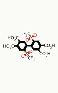 O=C(O)c1cc(-c2cc(C(=O)O)c(C(=O)O)cc2S(=O)(=O)C(F)(F)F)c(S(=O)(=O)C(F)(F)F)cc1C(=O)O